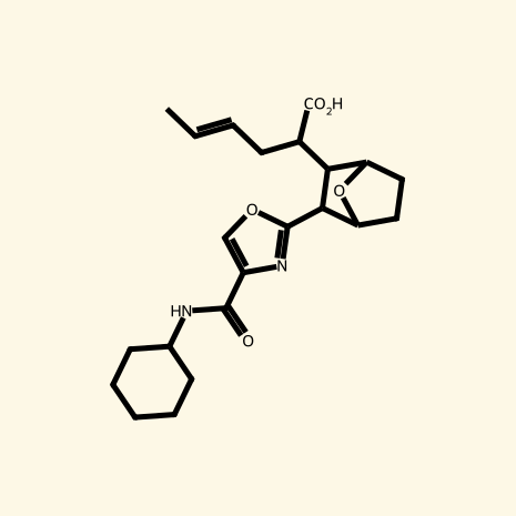 CC=CCC(C(=O)O)C1C2CCC(O2)C1c1nc(C(=O)NC2CCCCC2)co1